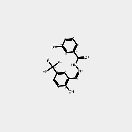 O=C(N/N=C\c1cc(C(F)(F)F)ccc1O)c1cccc(Br)c1